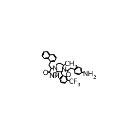 CC1CCN(C(Cc2cccc3ccccc23)C(N)=O)C(=O)C(c2cccc(C(F)(F)F)c2)N1C(=O)Cc1ccc(N)cc1